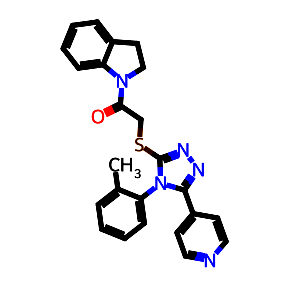 Cc1ccccc1-n1c(SCC(=O)N2CCc3ccccc32)nnc1-c1ccncc1